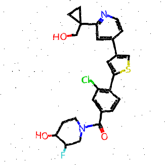 O=C(c1ccc(-c2cc(-c3ccnc(C4(CO)CC4)c3)cs2)c(Cl)c1)N1CCC(O)C(F)C1